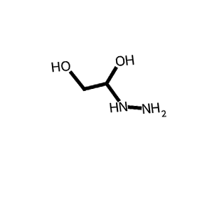 NNC(O)CO